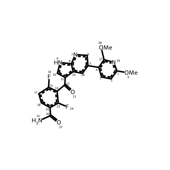 COc1ccc(-c2cnc3[nH]cc(C(=O)c4c(F)ccc(C(N)=O)c4F)c3c2)c(OC)n1